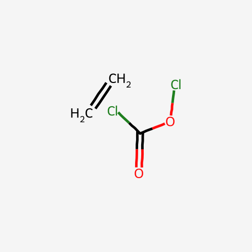 C=C.O=C(Cl)OCl